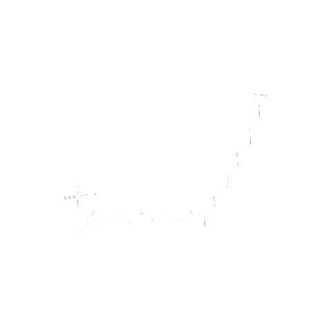 CCC(CCCCCCCCCC1CO1)CCCCCCCOP(=O)(O)OP(=O)(O)O